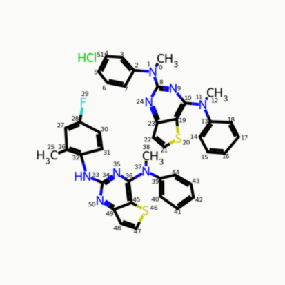 CN(c1ccccc1)c1nc(N(C)c2ccccc2)c2sccc2n1.Cc1cc(F)ccc1Nc1nc(N(C)c2ccccc2)c2sccc2n1.Cl